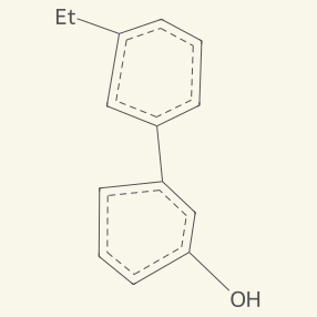 CCc1cccc(-c2cccc(O)c2)c1